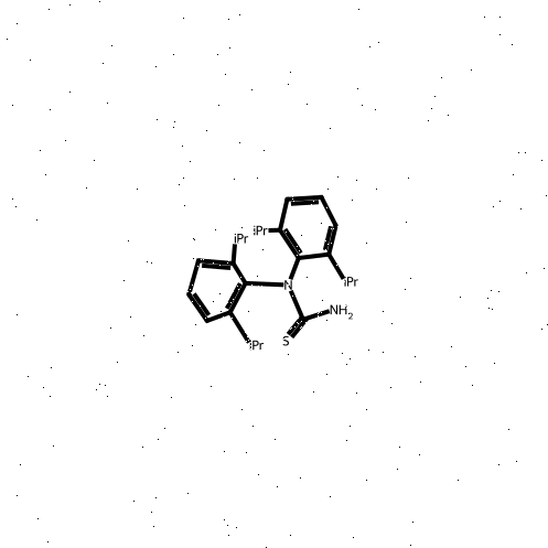 CC(C)c1cccc(C(C)C)c1N(C(N)=S)c1c(C(C)C)cccc1C(C)C